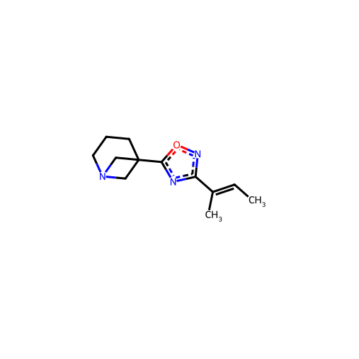 C/C=C(\C)c1noc(C23CCCN(C2)C3)n1